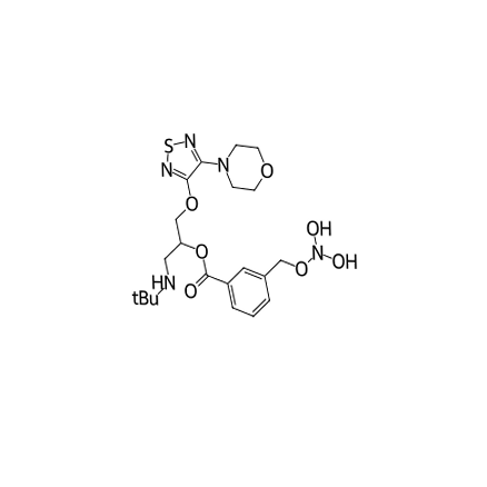 CC(C)(C)NCC(COc1nsnc1N1CCOCC1)OC(=O)c1cccc(CON(O)O)c1